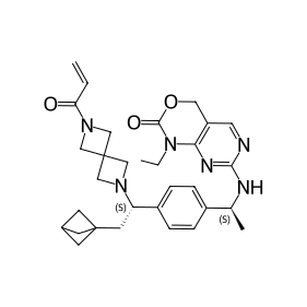 C=CC(=O)N1CC2(C1)CN([C@@H](CC13CC(C1)C3)c1ccc([C@H](C)Nc3ncc4c(n3)N(CC)C(=O)OC4)cc1)C2